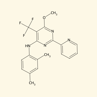 COc1nc(-c2ccccn2)nc(Nc2ccc(C)cc2C)c1C(F)(F)F